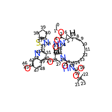 CCOC(=O)[C@@]12C[C@H]1/C=C\CCCCC[C@H](NC(=O)OC(C)(C)C)C(=O)N1CC(Oc3cc(-c4nc5c(s4)CCC5)nc4cc(OC)ccc34)C[C@H]1C(=O)N2